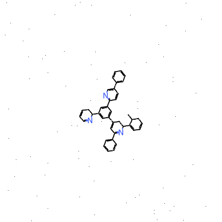 CC1CC=CC=C1C1CC(c2cc(-c3ccc(-c4ccccc4)cn3)cc(C3CC=CC=N3)c2)=CC(c2ccccc2)=N1